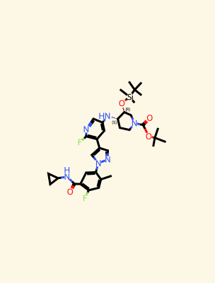 Cc1cc(F)c(C(=O)NC2CC2)cc1-n1cc(-c2cc(N[C@H]3CCN(C(=O)OC(C)(C)C)C[C@H]3O[Si](C)(C)C(C)(C)C)cnc2F)cn1